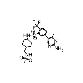 Cc1nc(N)ncc1-c1ccc(C(F)(F)F)c(S(=O)(=O)NC2CCC(CNS(C)(=O)=O)CC2)c1